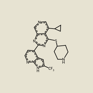 FC(F)(F)c1cc2c(-c3nc(SC4CCNCC4)c4c(C5CC5)cncc4n3)ccnc2[nH]1